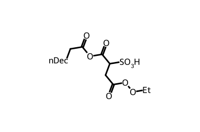 CCCCCCCCCCCC(=O)OC(=O)C(CC(=O)OOCC)S(=O)(=O)O